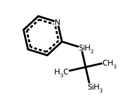 CC(C)([SiH3])[SiH2]c1ccccn1